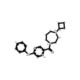 O=C(c1cnc(Oc2ccccc2)cn1)N1CCCN(C2CCC2)CC1